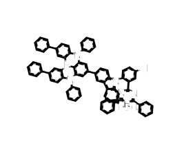 CCCCc1ccc2c3cc(-c4cc5c6c(c4)N(c4ccccc4)c4ccc(-c7ccccc7)cc4B6c4cc(-c6ccccc6)ccc4N5c4ccccc4)ccc3n(-c3ccc(C(F)(F)F)cc3-c3nc(-c4ccccc4)nc(-c4ccccc4)n3)c2c1